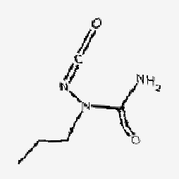 CCCN(N=C=O)C(N)=O